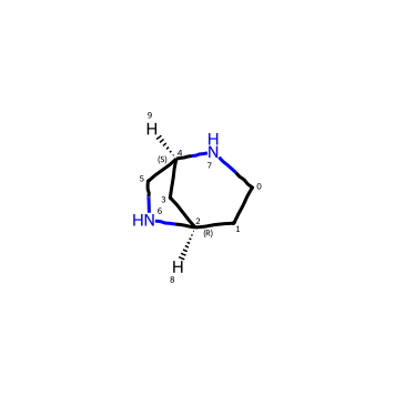 C1C[C@@H]2C[C@@H](CN2)N1